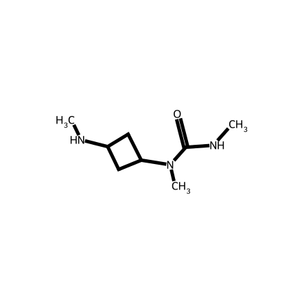 CNC(=O)N(C)C1CC(NC)C1